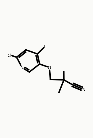 CC(C)(C#N)COc1cnc(Cl)cc1I